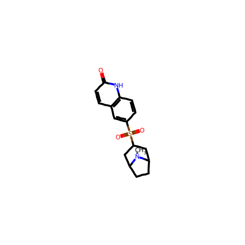 CN1C2CCC1CC(S(=O)(=O)c1ccc3[nH]c(=O)ccc3c1)C2